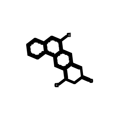 O=C1C=c2cc3c(Cl)cc4ccccc4c3cc2=C(Cl)C1